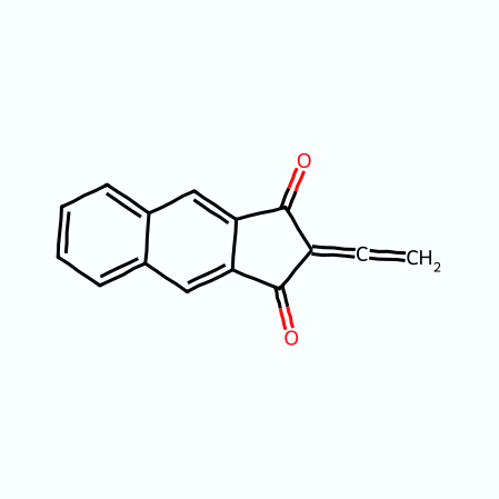 C=C=C1C(=O)c2cc3ccccc3cc2C1=O